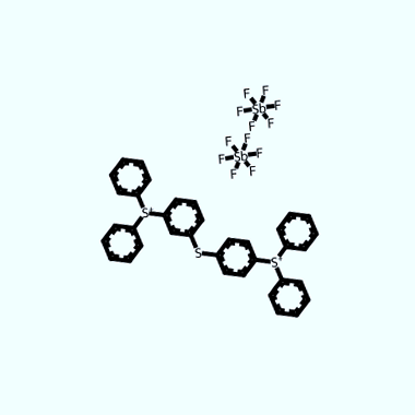 [F][Sb-]([F])([F])([F])([F])[F].[F][Sb-]([F])([F])([F])([F])[F].c1ccc([S+](c2ccccc2)c2ccc(Sc3cccc([S+](c4ccccc4)c4ccccc4)c3)cc2)cc1